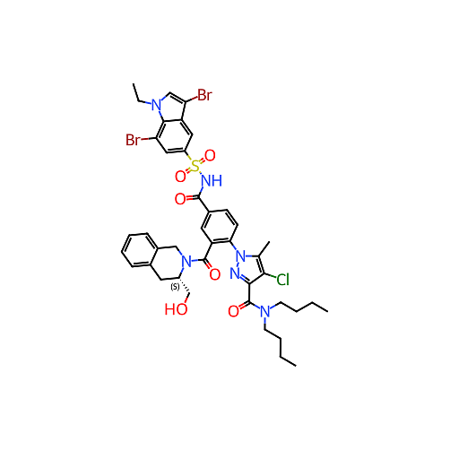 CCCCN(CCCC)C(=O)c1nn(-c2ccc(C(=O)NS(=O)(=O)c3cc(Br)c4c(c3)c(Br)cn4CC)cc2C(=O)N2Cc3ccccc3C[C@H]2CO)c(C)c1Cl